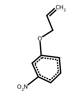 C=CCOc1[c]ccc([N+](=O)[O-])c1